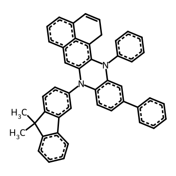 CC1(C)c2ccccc2-c2cc(N3c4ccc(-c5ccccc5)cc4N(c4ccccc4)c4c3cc3cccc5c3c4CC=C5)ccc21